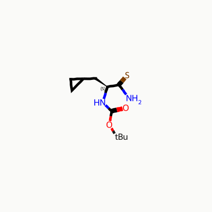 CC(C)(C)OC(=O)N[C@@H](CC1CC1)C(N)=S